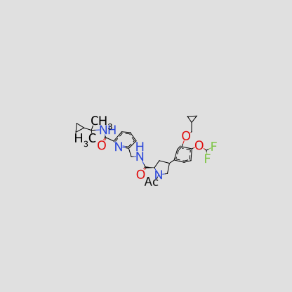 CC(=O)N1CC(c2ccc(OC(F)F)c(OCC3CC3)c2)C[C@@H]1C(=O)NCc1cccc(C(=O)NC(C)(C)C2CC2)n1